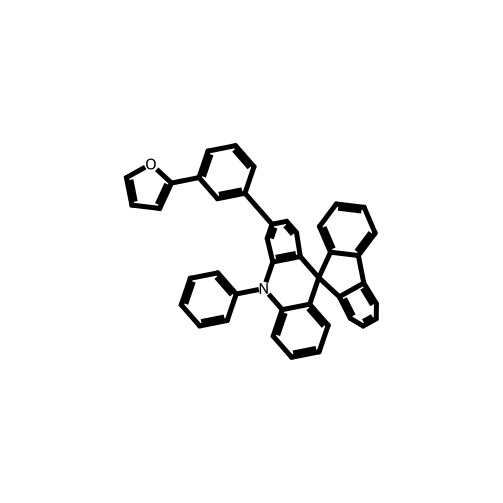 c1ccc(N2c3ccccc3C3(c4ccccc4-c4ccccc43)c3ccc(-c4cccc(-c5ccco5)c4)cc32)cc1